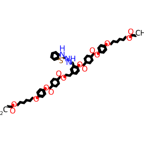 C=CC(=O)OCCCCCCOc1ccc(OC(=O)C2CCC(C(=O)OCCc3ccc(OC(=O)C4CCC(C(=O)Oc5ccc(OCCCCCCOC(=O)C=C)cc5)CC4)c(/C=N/NC4Nc5ccccc5S4)c3)CC2)cc1